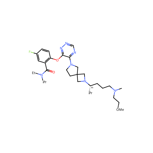 COCCN(C)CCC[C@H](C(C)C)N1CC2(CCN(c3ncnnc3Oc3ccc(F)cc3C(=O)N([13CH2][13CH3])[13CH]([13CH3])[13CH3])C2)C1